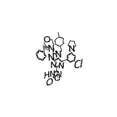 CC1CCC(Cn2c(N3CCOC[C@H]3c3ccccc3)nc3nc(-c4noc(=O)[nH]4)nc(-c4cc(Cl)cc(N5CCCC5)c4)c32)CC1